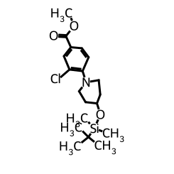 COC(=O)c1ccc(N2CCC(O[Si](C)(C)C(C)(C)C)CC2)c(Cl)c1